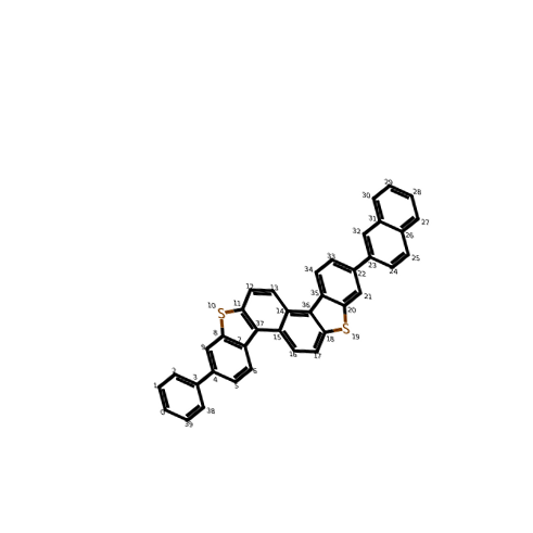 c1ccc(-c2ccc3c(c2)sc2ccc4c(ccc5sc6cc(-c7ccc8ccccc8c7)ccc6c54)c23)cc1